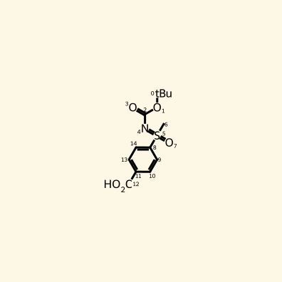 CC(C)(C)OC(=O)N=S(C)(=O)c1ccc(C(=O)O)cc1